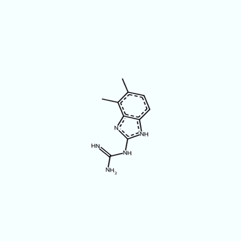 Cc1ccc2[nH]c(NC(=N)N)nc2c1C